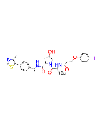 Cc1ncsc1-c1ccc(C(C)NC(=O)[C@@H]2C[C@@H](O)CN2C(=O)C(NC(=O)CCOc2ccc(I)cc2)C(C)(C)C)cc1